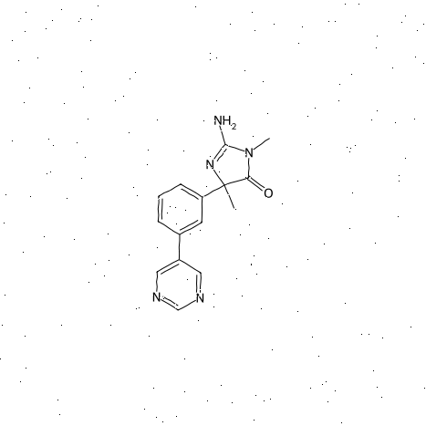 CN1C(=O)C(C)(c2cccc(-c3cncnc3)c2)N=C1N